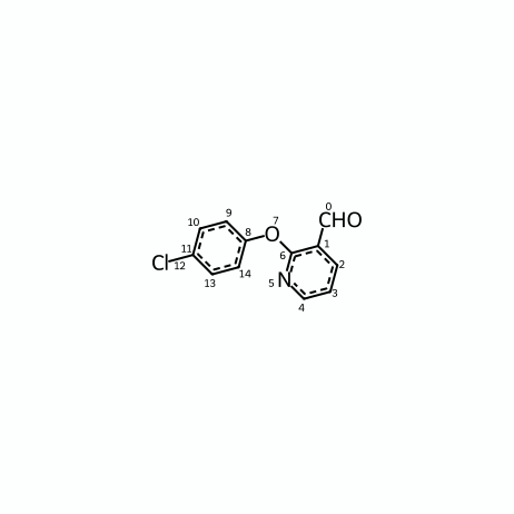 O=Cc1cccnc1Oc1ccc(Cl)cc1